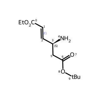 CCOC(=O)/C=C/[C@@H](N)CC(=O)OC(C)(C)C